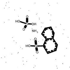 N.O=S(=O)(O)O.O=S(=O)(O)c1cccc2ccccc12